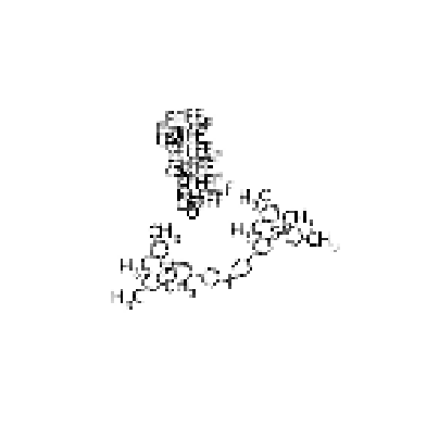 Cc1ccc([S+](c2ccc(-c3ccc([I+]c4ccc(-c5ccc([S+](c6ccc(C)cc6C)c6ccc(C)cc6C)cc5)cc4)cc3)cc2)c2ccc(C)cc2C)c(C)c1.O=S(=O)([O-])C(F)(F)C(F)(F)C(F)(F)C(F)(F)F.O=S(=O)([O-])C(F)(F)C(F)(F)C(F)(F)C(F)(F)F.O=S(=O)([O-])C(F)(F)C(F)(F)C(F)(F)C(F)(F)F